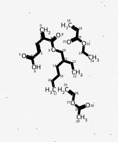 C=C(C=CC(=O)O)C(=O)OCC(CC)CCCC.C=CC(=O)OCC.C=COC(C)=O